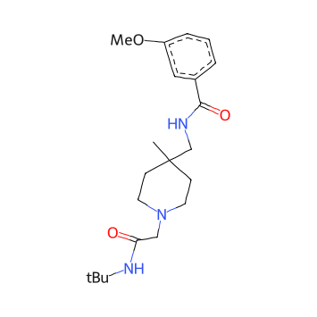 COc1cccc(C(=O)NCC2(C)CCN(CC(=O)NC(C)(C)C)CC2)c1